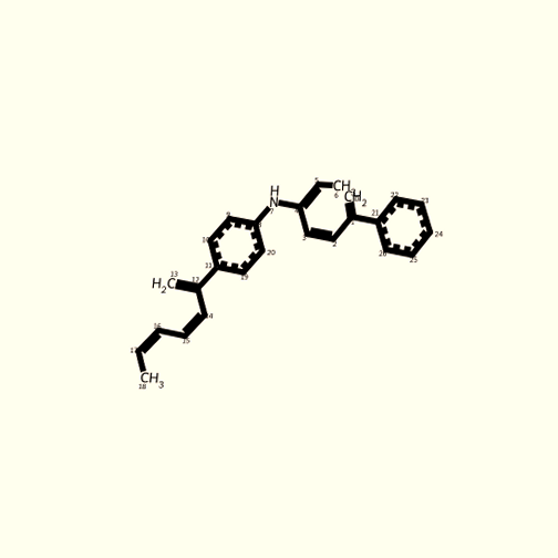 C=C(/C=C\C(=C/C)Nc1ccc(C(=C)/C=C\C=C/C)cc1)c1ccccc1